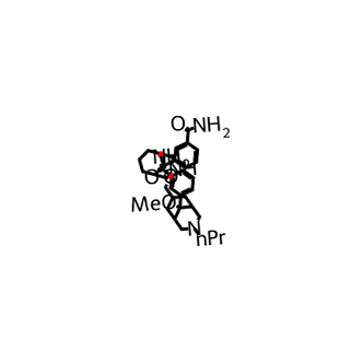 CCCN1CC2CC(COC3(c4cccc(C(N)=O)c4)C4CCCC3CNC4)CC(C1)C2(OC)c1cccc(C(N)=O)c1